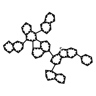 c1ccc(-c2ccc3sc4c(-c5ccc6c7c(cccc57)-c5c-6c(-c6ccc7ccccc7c6)c6ccccc6c5-c5ccc6ccccc6c5)cc(-c5cccc6ccccc56)cc4c3c2)cc1